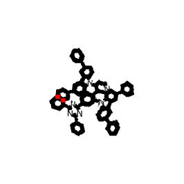 c1ccc(-c2ccc3c(c2)c2cc(-c4ccccc4)ccc2n3-c2ccncc2-c2ccc(-c3nc(-c4ccccc4)nc(-c4ccccc4)n3)cc2-n2c3ccc(-c4ccccc4)cc3c3cc(-c4ccccc4)ccc32)cc1